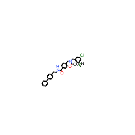 O=C(O)C(=O)N(Cc1ccc(C(=O)NCCc2ccc(-c3ccccc3)cc2)cc1)Cc1cc(Cl)cc(Cl)c1